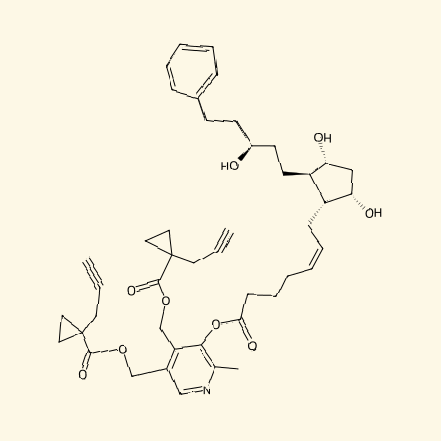 C#CCC1(C(=O)OCc2cnc(C)c(OC(=O)CCC/C=C\C[C@@H]3[C@@H](CC[C@@H](O)CCc4ccccc4)[C@H](O)C[C@@H]3O)c2COC(=O)C2(CC#C)CC2)CC1